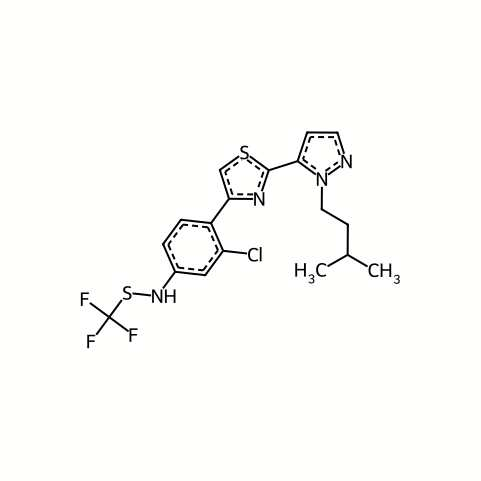 CC(C)CCn1nccc1-c1nc(-c2ccc(NSC(F)(F)F)cc2Cl)cs1